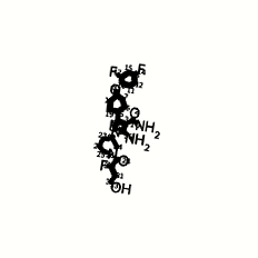 NC(=O)c1c(-c2ccc(Oc3ccc(F)cc3F)cc2)nn([C@@H]2CCCN(C(=O)C(F)=CCO)C2)c1N